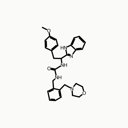 COc1ccc(CC(NC(=O)NCc2ccccc2CN2CCOCC2)c2nc3ccccc3[nH]2)cc1